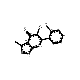 Cc1noc2[nH]c(-c3ccccc3Cl)c(O)c(=O)c12